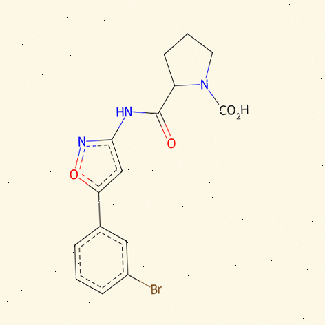 O=C(Nc1cc(-c2cccc(Br)c2)on1)C1CCCN1C(=O)O